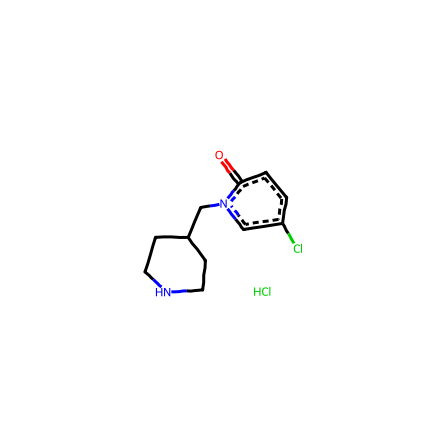 Cl.O=c1ccc(Cl)cn1CC1CCNCC1